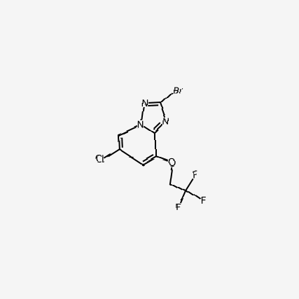 FC(F)(F)COc1cc(Cl)cn2nc(Br)nc12